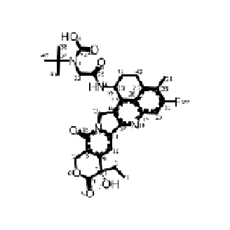 CC[C@@]1(O)C(=O)OCc2c1cc1n(c2=O)Cc2c-1nc1cc(F)c(C)c3c1c2[C@@H](NC(=O)CN(C(=O)O)C(C)(C)C)CC3